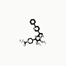 Bc1c(C2CCN(C(=O)C(F)(F)F)CC2)nc2c(-c3ccc(-c4ccccc4)nc3)cnn2c1N